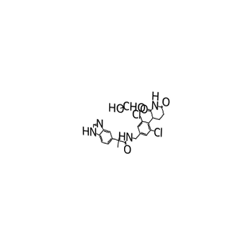 CC(C)(C(=O)NCc1cc(Cl)c(C2CCC(=O)NC2=O)c(Cl)c1)c1ccc2[nH]cnc2c1.O=CO